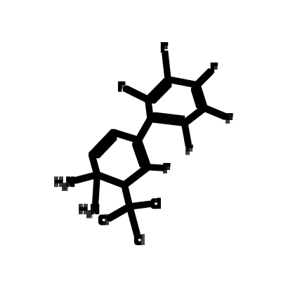 NC1(N)C=CC(c2c(F)c(F)c(F)c(F)c2F)=C(F)C1C(Cl)(Cl)Cl